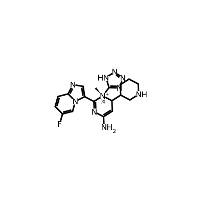 C[N@+]1(c2nnn[nH]2)C(c2cnc3ccc(F)cn23)=NC(N)=CC1C1CCCNC1